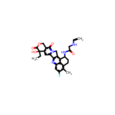 C=CNCC(=O)NC1CCc2c(C)c(F)cc3nc4c(c1c23)Cn1c-4cc2c(c1=O)COC(=O)C2(O)CC